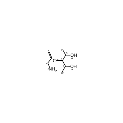 C=CCN.CC(O)C(Cl)C(C)O